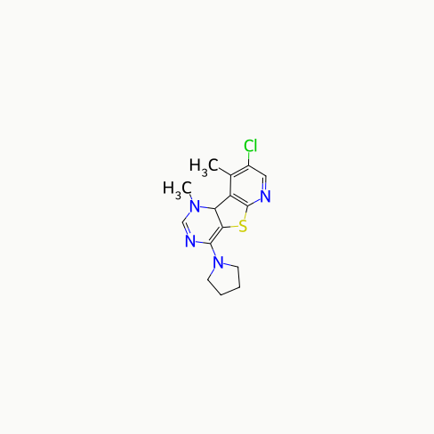 Cc1c(Cl)cnc2c1C1C(=C(N3CCCC3)N=CN1C)S2